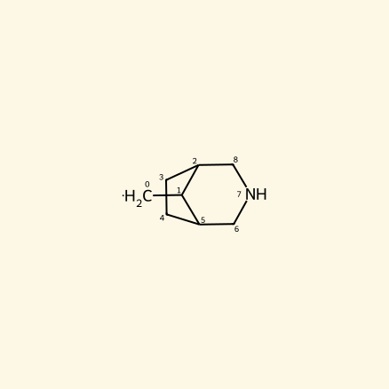 [CH2]C1C2CCC1CNC2